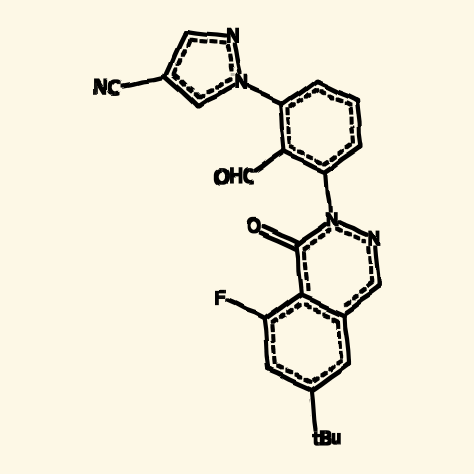 CC(C)(C)c1cc(F)c2c(=O)n(-c3cccc(-n4cc(C#N)cn4)c3C=O)ncc2c1